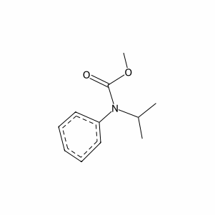 COC(=O)N(c1ccccc1)C(C)C